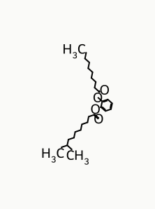 CCCCCCCCCC(=O)Oc1ccccc1OC(=O)CCCCCCCC(CC)CC